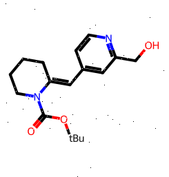 CC(C)(C)OC(=O)N1CCCCC1=Cc1ccnc(CO)c1